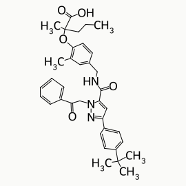 CCCC(C)(Oc1ccc(CNC(=O)c2cc(-c3ccc(C(C)(C)C)cc3)nn2CC(=O)c2ccccc2)cc1C)C(=O)O